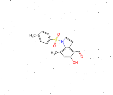 Cc1ccc(S(=O)(=O)n2ccc3c(C=O)c(O)cc(C)c32)cc1